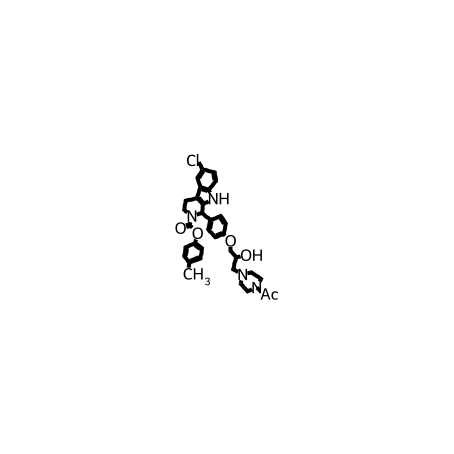 CC(=O)N1CCN(CC(O)COc2ccc(C3c4[nH]c5ccc(Cl)cc5c4CCN3C(=O)Oc3ccc(C)cc3)cc2)CC1